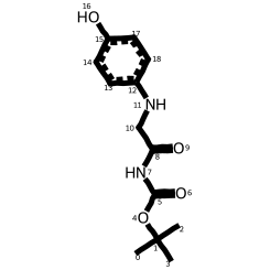 CC(C)(C)OC(=O)NC(=O)CNc1ccc(O)cc1